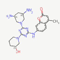 Cc1cc(=O)oc2cc(Nc3nc(N4C[C@H](N)C[C@H](N)C4)nc(N4CCC[C@H](O)C4)n3)ccc12